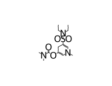 CCN(CC)S(=O)(=O)C1=CN(C)C=C(OC(=O)N(C)C)C1